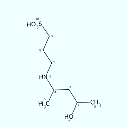 CC(O)CC(C)NCCCS(=O)(=O)O